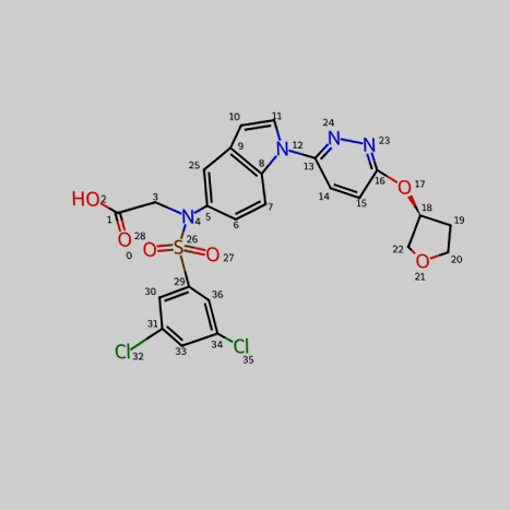 O=C(O)CN(c1ccc2c(ccn2-c2ccc(O[C@H]3CCOC3)nn2)c1)S(=O)(=O)c1cc(Cl)cc(Cl)c1